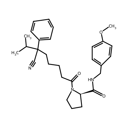 COc1ccc(CNC(=O)[C@H]2CCCN2C(=O)CCCCC(C#N)(c2ccccc2)C(C)C)cc1